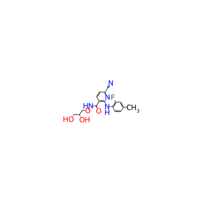 Cc1ccc(Nc2nc(C#N)ccc2C(=O)NOCC(O)CO)c(F)c1